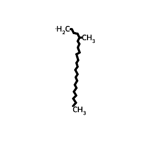 [CH2]CCCC(C)CCCCCCCCCCCCCCCCCCCC